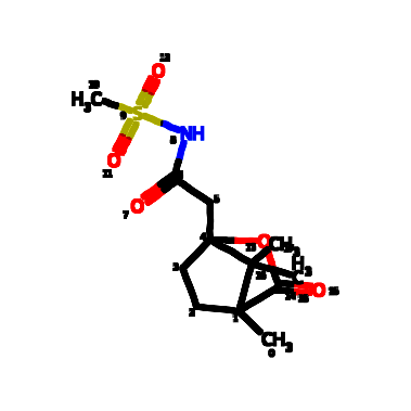 CC12CCC(CC(=O)NS(C)(=O)=O)(OC1=O)C2(C)C